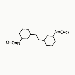 O=C=NC1CCCC(CCC2CCCC(N=C=O)C2)C1